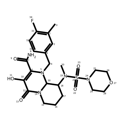 Cc1cc(CN2C(C(N)=O)=C(O)C(=O)N3CCCC(N(C)S(=O)(=O)N4CCOCC4)C32)ccc1F